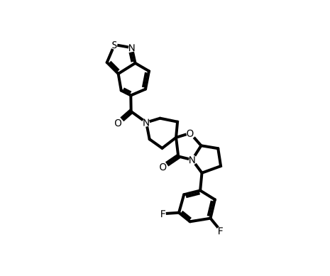 O=C(c1ccc2nscc2c1)N1CCC2(CC1)OC1CCC(c3cc(F)cc(F)c3)N1C2=O